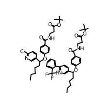 CCCCCC(Oc1ccc(C(=O)NCCC(=O)OC(C)(C)C)cc1)c1ccc(-c2ccccc2C(F)(F)F)nc1.CCCCCC(Oc1ccc(C(=O)NCCC(=O)OC(C)(C)C)cc1)c1ccc(Cl)nc1